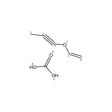 C=COC#CC.O=C(O)O